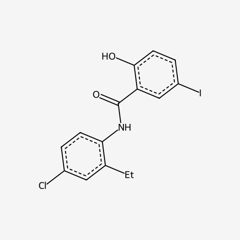 CCc1cc(Cl)ccc1NC(=O)c1cc(I)ccc1O